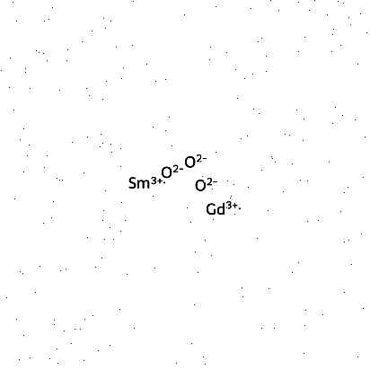 [Gd+3].[O-2].[O-2].[O-2].[Sm+3]